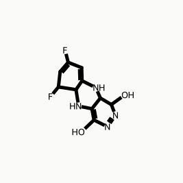 OC1=C2NC3C(=CC(F)=CC3F)NC2C(O)N=N1